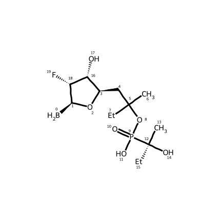 B[C@@H]1O[C@H](CC(C)(CC)OP(=O)(O)[C@@](C)(O)CC)[C@@H](O)[C@H]1F